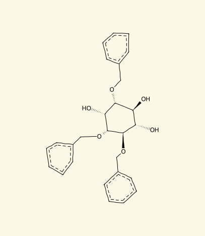 O[C@@H]1[C@H](OCc2ccccc2)[C@@H](O)[C@H](O)[C@@H](OCc2ccccc2)[C@@H]1OCc1ccccc1